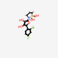 Oc1c(-c2ccc(F)cc2F)oc(N2CCCS2(O)O)c1O